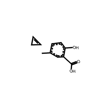 C1=CC1.Cc1ccc(O)c(C(=O)O)c1